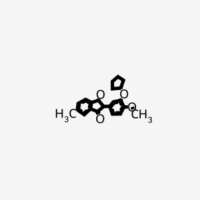 COc1ccc(C2C(=O)c3ccc(C)cc3C2=O)cc1OC1CCCC1